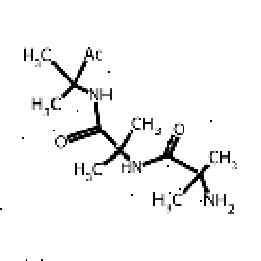 CC(=O)C(C)(C)NC(=O)C(C)(C)NC(=O)C(C)(C)N